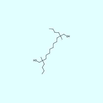 CCCCC(C)(CO)CCCCCCCCC(C)(CO)CCCC